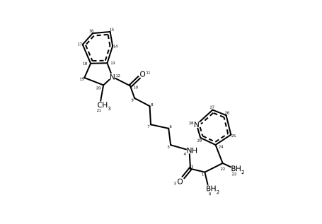 BC(C(=O)NCCCCCC(=O)N1c2ccccc2CC1C)C(B)c1cccnc1